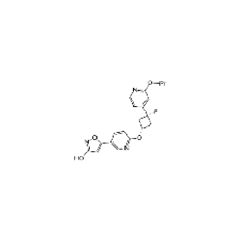 CC(C)Oc1cc([C@]2(F)C[C@@H](Oc3ccc(-c4cc(O)no4)cn3)C2)ccn1